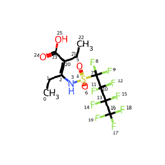 CCC(NS(=O)(=O)C(F)(F)C(F)(F)C(F)(F)C(F)(F)F)=C(CC)C(=O)O